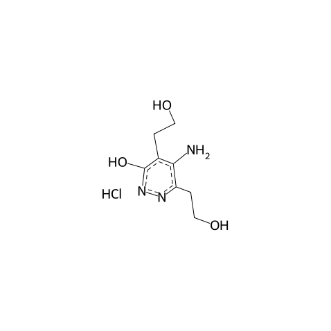 Cl.Nc1c(CCO)nnc(O)c1CCO